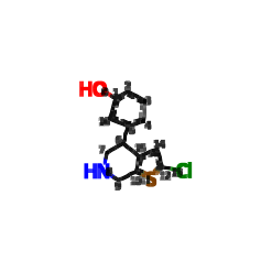 Oc1cccc(C2CNCc3sc(Cl)cc32)c1